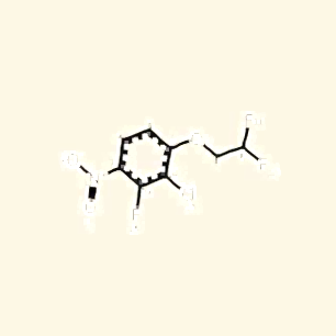 O=[N+]([O-])c1ccc(OCC(F)F)c(Cl)c1F